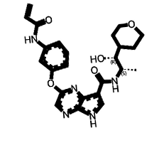 C=CC(=O)Nc1cccc(Oc2cnc3[nH]cc(C(=O)N[C@@H](C)[C@H](O)C4CCOCC4)c3n2)c1